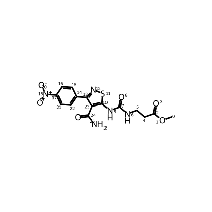 COC(=O)CCNC(=O)Nc1snc(-c2ccc([N+](=O)[O-])cc2)c1C(N)=O